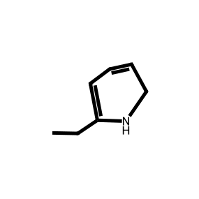 CCC1=CC=CCN1